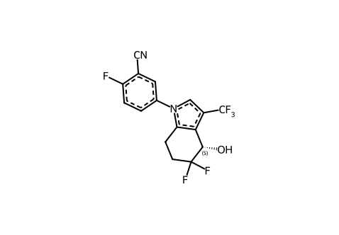 N#Cc1cc(-n2cc(C(F)(F)F)c3c2CCC(F)(F)[C@H]3O)ccc1F